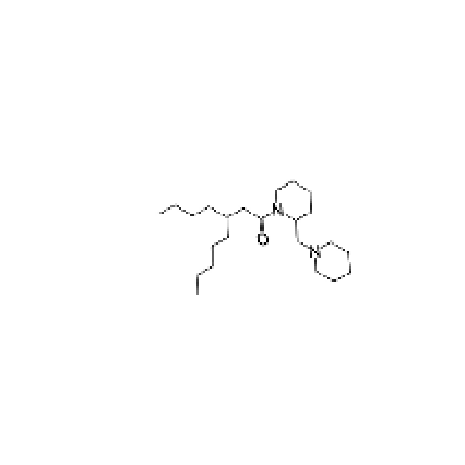 CCCCCC(CCCC)CC(=O)N1CCCCC1CN1CCCCC1